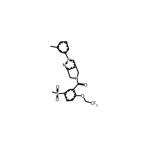 Cc1cccc(-n2cc3c(n2)CN(C(=O)c2cc(S(C)(=O)=O)ccc2OCC(F)(F)F)C3)c1